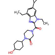 CCc1cc(C2CC2)cc2c1nc(C(=O)N1CCN(C3CCC(O)CC3)C(=O)C1)n2CC